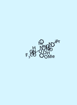 COc1ccccc1Oc1c(NS(=O)(=O)c2ccc(C(C)C)cn2)nc(-c2ccccn2)nc1OCCNS(=O)(=O)C(F)(F)F